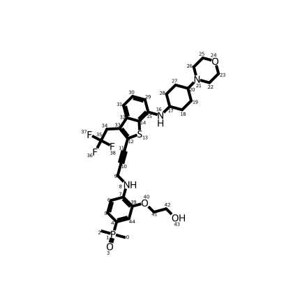 CP(C)(=O)c1ccc(NCC#Cc2sc3c(NC4CCC(N5CCOCC5)CC4)cccc3c2CC(F)(F)F)c(OCCO)c1